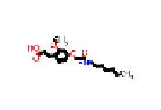 CCCCCCCNC(=O)COc1ccc(CCC(=O)O)c(OC)c1